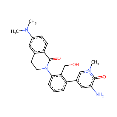 CN(C)c1ccc2c(c1)CCN(c1cccc(-c3cc(N)c(=O)n(C)c3)c1CO)C2=O